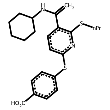 C=C(NC1CCCCC1)c1ccc(Sc2ccc(C(=O)O)cc2)nc1SCCC